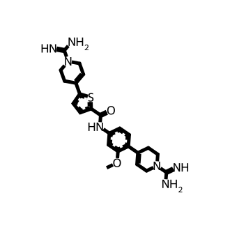 COc1cc(NC(=O)c2ccc(C3=CCN(C(=N)N)CC3)s2)ccc1C1=CCN(C(=N)N)CC1